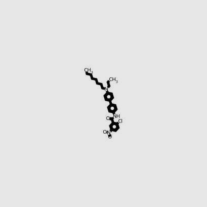 CCCCCCCCN(CCC)c1ccc(-c2ccc(NC(=O)c3cc([N+](=O)[O-])ccc3Cl)cc2)cc1